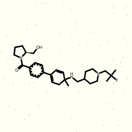 CC(C)(F)CN1CCC(CNC2(C)C=CC(c3ccc(C(=O)N4CCC[C@H]4CO)cc3)=CC2)CC1